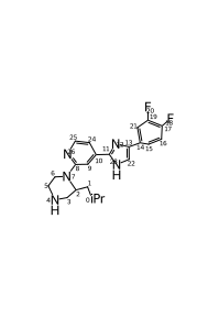 CC(C)CC1CNCCN1c1cc(-c2nc(-c3ccc(F)c(F)c3)c[nH]2)ccn1